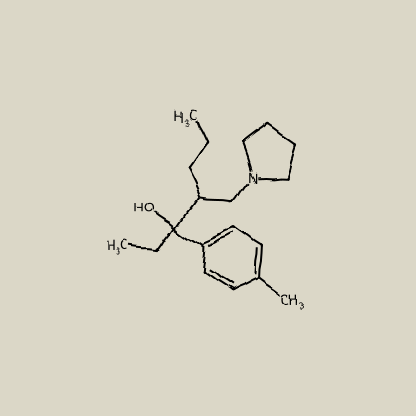 CCCC(CN1CCCC1)C(O)(CC)c1ccc(C)cc1